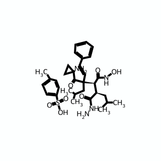 CC(C)C[C@@H](C(=O)NN)[C@H](C(=O)NO)C(/C=C/c1ccccc1)(CC(C)C)C(=O)C1(N)CC1.Cc1ccc(S(=O)(=O)O)cc1